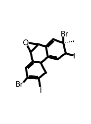 C[C@@]1(Br)C=C2C(=CC1I)C1CC(I)=C(Br)C=C1C1OC21